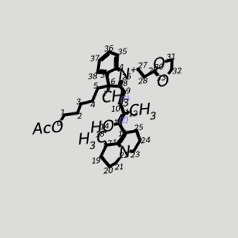 CC(=O)OCCCCCC1(C)C(/C=C/C(C)=C(\O)C2=C3C(C)CCCN3CCC2)=[N+](CCC2OCCO2)c2ccccc21